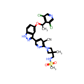 C[C@@H](Oc1ccc2[nH]nc(-c3cnc(N4CC(C)(CNS(C)(=O)=O)C4)c(C#N)c3)c2c1)c1c(Cl)cncc1Cl